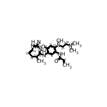 C=CC(=O)Nc1cc(N/C2=N/C(N)=N\C=C\CC2C)c(OC)cc1N(C)CCN(C)C